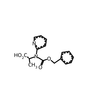 C[C@@H](C(=O)O)N(C(=O)OCc1ccccc1)c1ccccn1